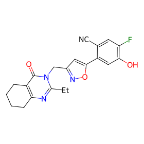 CCc1nc2c(c(=O)n1Cc1cc(-c3cc(O)c(F)cc3C#N)on1)CCCC2